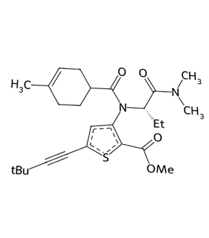 CC[C@@H](C(=O)N(C)C)N(C(=O)C1CC=C(C)CC1)c1cc(C#CC(C)(C)C)sc1C(=O)OC